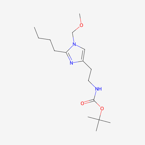 CCCCc1nc(CCNC(=O)OC(C)(C)C)cn1COC